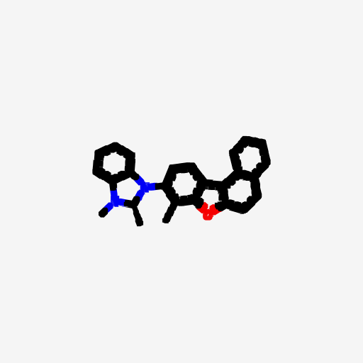 Cc1c(N2c3ccccc3N(C)[C@@H]2C)ccc2c1oc1ccc3ccccc3c12